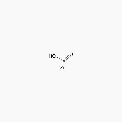 [O]=[V][OH].[Zr]